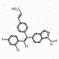 CC/C(=C(/c1ccc(/C=C/C(=O)O)cc1)c1ccc2c(cnn2PI)c1)c1ccc(F)cc1Cl